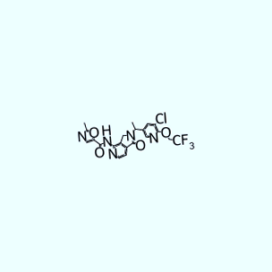 Cc1ncc(C(=O)Nc2nccc3c2CN(C(C)c2cnc(OCC(F)(F)F)c(Cl)c2)C3=O)o1